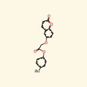 CCC(C)c1ccc(OC(=O)COc2ccc3oc(=O)ccc3c2)cc1